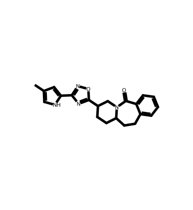 Cc1c[nH]c(-c2noc(C3CCC4CCc5ccccc5C(=O)N4C3)n2)c1